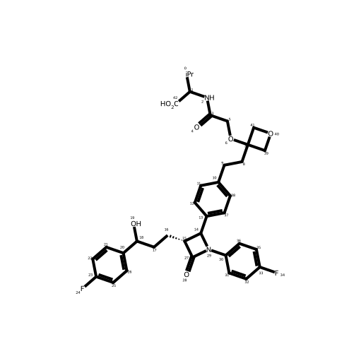 CC(C)C(NC(=O)COC1(CCc2ccc(C3[C@@H](CCC(O)c4ccc(F)cc4)C(=O)N3c3ccc(F)cc3)cc2)COC1)C(=O)O